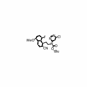 COc1ccc(F)c2c(CCN(C(=O)OC(C)(C)C)c3cc(Cl)ncn3)c(C#N)ccc12